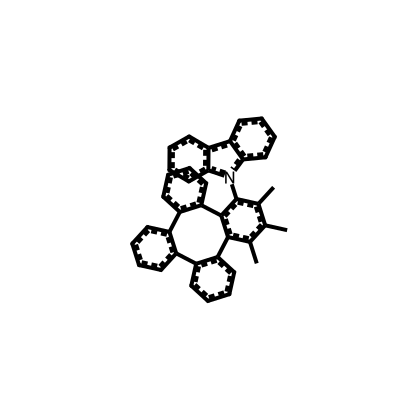 Cc1c(C)c2c(c(-n3c4ccccc4c4ccccc43)c1C)-c1ccccc1-c1ccccc1-c1ccccc1-2